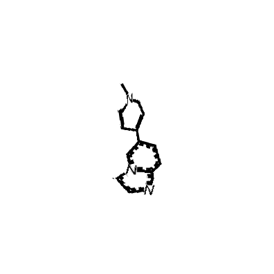 CN1CC=C(c2ccc3nc[c]n3c2)CC1